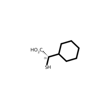 O=C(O)[C@@H](S)C1CCCCC1